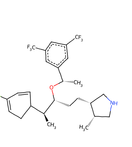 C[C@H](O[C@H](CC[C@@H]1CNC[C@@H]1C)[C@@H](C)C1C=CC(F)=CC1)c1cc(C(F)(F)F)cc(C(F)(F)F)c1